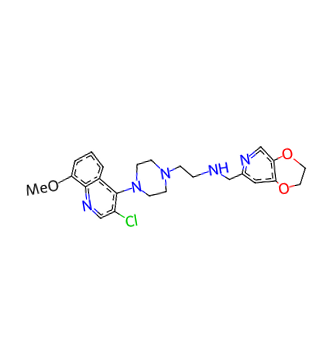 COc1cccc2c(N3CCN(CCNCc4cc5c(cn4)OCCO5)CC3)c(Cl)cnc12